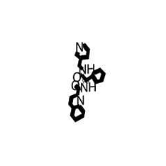 O=C(N[C@@H](C(=O)NCc1cccnc1)c1ccccc1)c1ccc2ccccc2n1